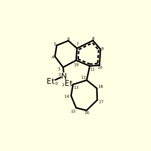 CCN(CC)C1CCCc2cccc(C3CCCCCC3)c21